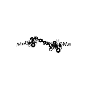 COC(=O)N[C@@H](C(=O)N1CCC[C@H]1c1ncc(-c2ccc(-c3cc4sc(-c5cc(=O)[nH]c([C@@H]6CCCN6C(=O)[C@H](NC(=O)OC)c6ccccc6)n5)cc4s3)cc2)[nH]1)c1ccccc1